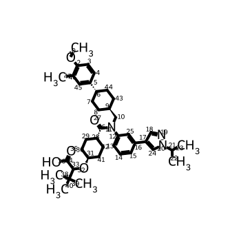 COc1ccc([C@H]2CC[C@H](CN(c3cccc(-c4cnn(C(C)C)c4)c3)C(=O)[C@H]3CC[C@H](OC(C(=O)O)C(C)(C)C)CC3)CC2)cc1C